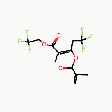 C=C(C)C(=O)OC(CC(F)(F)F)=C(C)C(=O)OCC(F)(F)F